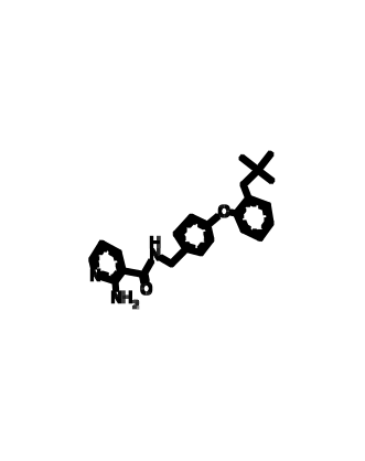 CC(C)(C)Cc1ccccc1Oc1ccc(CNC(=O)c2cccnc2N)cc1